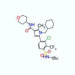 Cc1c(C(=O)NC2CCOCC2)cc(-c2ccc(S(=O)(=O)NC(C)(C)C)c(C(F)(F)F)c2Cl)n1CC1CCCCC1